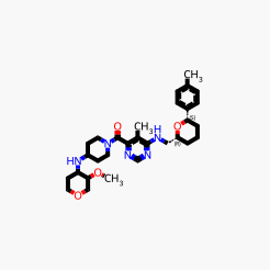 COC1COCCC1NC1CCN(C(=O)c2ncnc(NC[C@H]3CCC[C@@H](c4ccc(C)cc4)O3)c2C)CC1